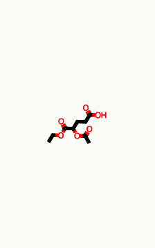 CCOC(=O)C(CCC(=O)O)OC(C)=O